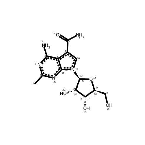 Cc1nc(N)c2c(C(N)=O)cn([C@H]3O[C@@H](CO)[C@H](O)[C@@H]3O)c2n1